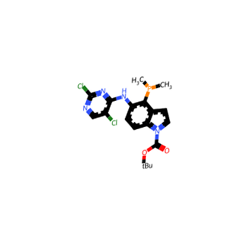 CP(C)c1c(Nc2nc(Cl)ncc2Cl)ccc2c1ccn2C(=O)OC(C)(C)C